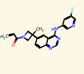 C=CC(=O)N1CC(C)(c2ccc3ncnc(Nc4cncc(F)c4)c3c2)C1